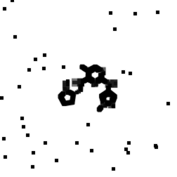 Cc1cnc(Nc2cnn(C)c2)nc1NC[C@@H]1CCCN1